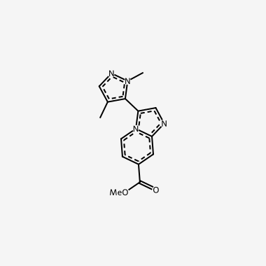 COC(=O)c1ccn2c(-c3c(C)cnn3C)cnc2c1